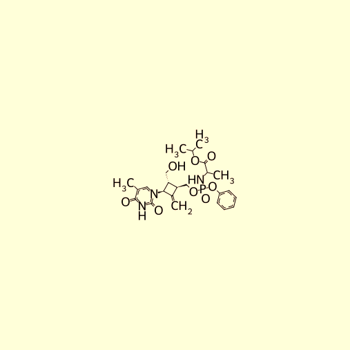 C=C1[C@@H](n2cc(C)c(=O)[nH]c2=O)[C@H](CO)[C@H]1COP(=O)(NC(C)C(=O)OC(C)C)Oc1ccccc1